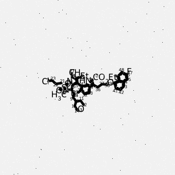 CCOC(=O)c1[nH]c2c(-c3c(C(CCC4CCOCC4)N(C)S(=O)(=O)CCCCl)nn(C)c3CC)c(Cl)ccc2c1CCCOc1cccc2cc(F)ccc12